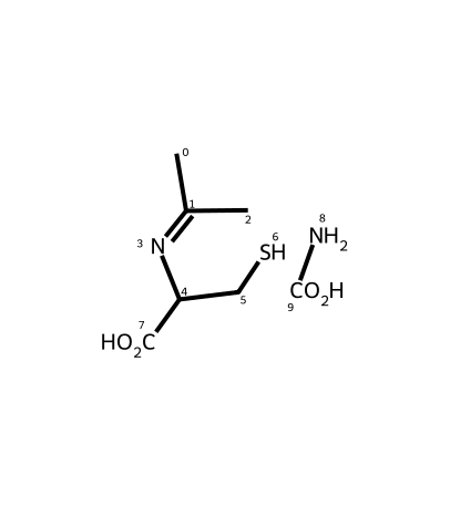 CC(C)=NC(CS)C(=O)O.NC(=O)O